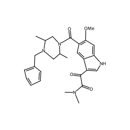 COc1cc2[nH]cc(C(=O)C(=O)N(C)C)c2cc1C(=O)N1CC(C)N(Cc2ccccc2)CC1C